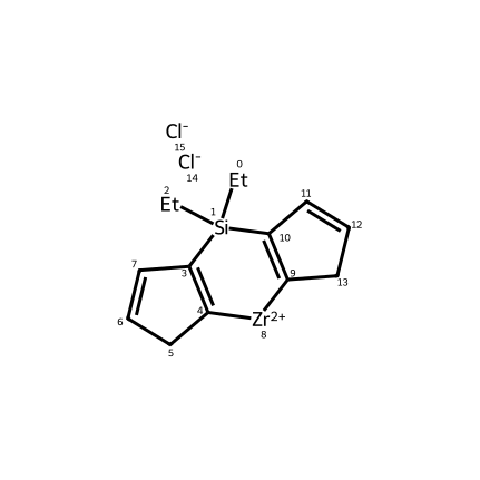 CC[Si]1(CC)C2=[C](CC=C2)[Zr+2][C]2=C1C=CC2.[Cl-].[Cl-]